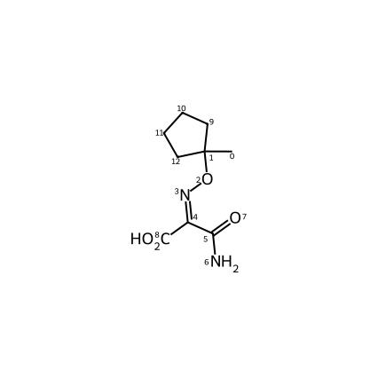 CC1(ON=C(C(N)=O)C(=O)O)CCCC1